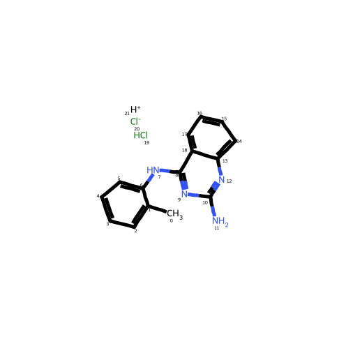 Cc1ccccc1Nc1nc(N)nc2ccccc12.Cl.[Cl-].[H+]